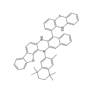 Cc1cc2c(cc1N1c3cc4ccccc4c(-c4cccc5c4Nc4ccccc4S5)c3Bc3ccc4c(oc5ccccc54)c31)C(C)(C)CCC2(C)C